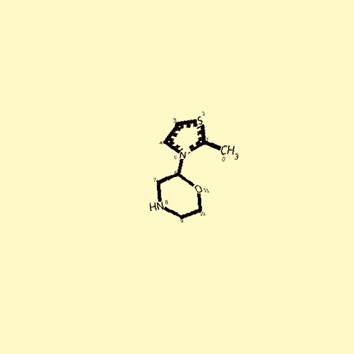 Cc1scc[n+]1C1CNCCO1